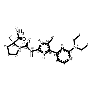 CCN(CC)c1nccc(-c2sc(NC(=O)N3CCC[C@@]3(C)C(N)=O)nc2C)n1